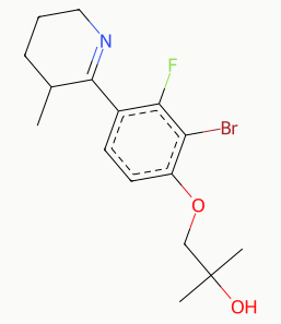 CC1CCCN=C1c1ccc(OCC(C)(C)O)c(Br)c1F